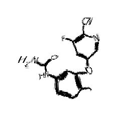 Cc1ccc(NC(N)=O)cc1Oc1cnc(C#N)c(F)c1